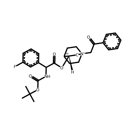 CC(C)(C)OC(=O)NC(C(=O)O[C@H]1C[N+]2(CC(=O)c3ccccc3)CCC1CC2)c1cccc(F)c1